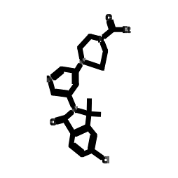 CCC(=O)N1CCN(c2cncc(N3C(=O)c4ccc(Cl)cc4C3(C)C)c2)CC1